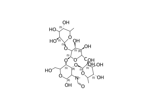 CC1O[C@@H](OC2[C@H](O[C@@H]3C(CO)O[C@@H](O)C(N(C)C=O)[C@H]3O[C@@H]3OC(C)[C@@H](O)C(O)[C@@H]3O)OC(CO)[C@H](O)[C@@H]2O)[C@@H](O)C(O)[C@@H]1O